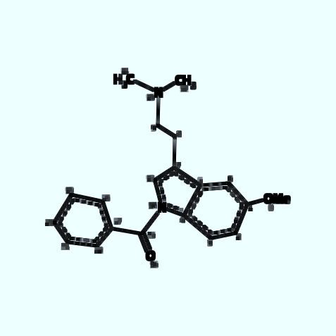 COc1ccc2c(c1)c(CCN(C)C)cn2C(=O)c1ccccc1